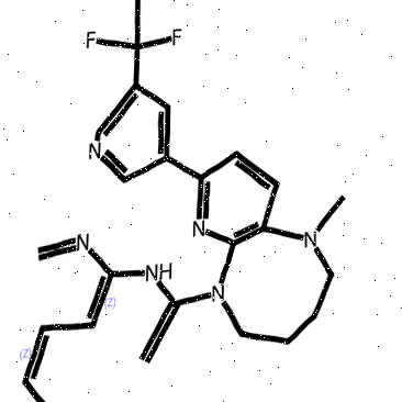 C=N/C(=C\C=C/C)NC(=C)N1CCCCN(C)c2ccc(-c3cncc(C(C)(F)F)c3)nc21